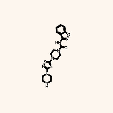 O=C(Nc1noc2ccccc12)N1CCN(c2nc(N3CCNCC3)ns2)CC1